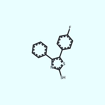 Fc1ccc(-c2sc(S)nc2-c2ccccc2)cc1